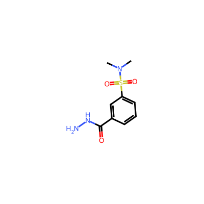 CN(C)S(=O)(=O)c1cccc(C(=O)NN)c1